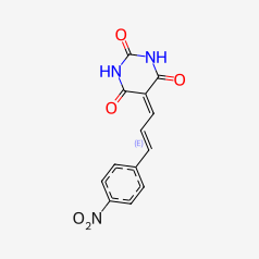 O=C1NC(=O)C(=C/C=C/c2ccc([N+](=O)[O-])cc2)C(=O)N1